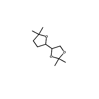 CC1(C)CCC(C2COC(C)(C)O2)O1